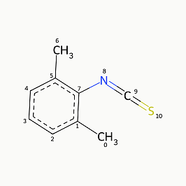 Cc1cccc(C)c1N=C=S